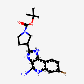 CC(C)(C)OC(=O)N1CCC(c2nc3c(N)nc4cc(Br)ccc4c3[nH]2)C1